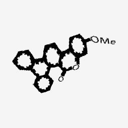 COc1ccc2c(c1)oc(=O)c1c2ccc2c3ccccc3c3ccccc3c21